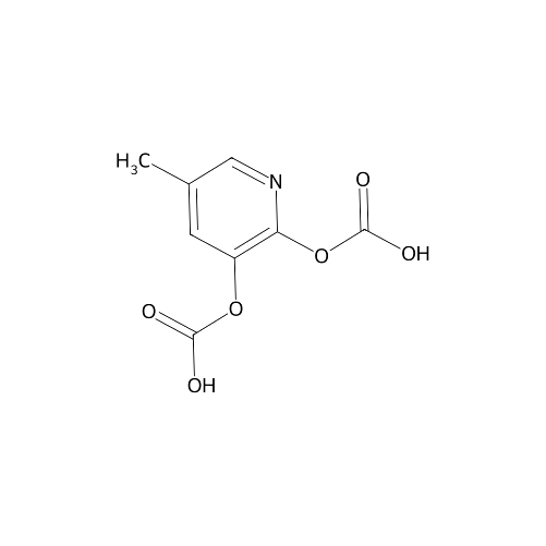 Cc1cnc(OC(=O)O)c(OC(=O)O)c1